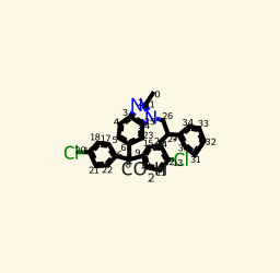 Cc1nc2ccc(C(C(=O)O)(c3ccc(Cl)cc3)c3ccc(Cl)cc3)cc2n1CC(C)c1ccccc1